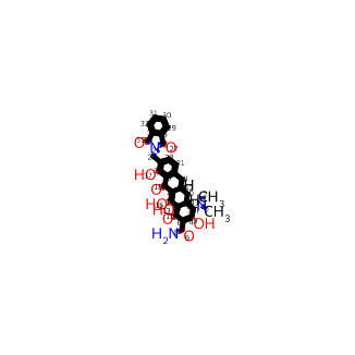 CN(C)[C@@H]1C(O)=C(C(N)=O)C(=O)[C@@]2(O)C(O)=C3C(=O)c4c(ccc(CN5C(=O)c6ccccc6C5=O)c4O)C[C@@H]3C[C@H]12